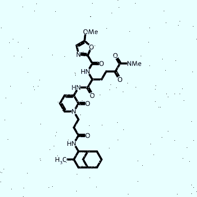 CNC(=O)C(=O)CCC(NC(=O)c1ncc(OC)o1)C(=O)Nc1cccn(CCC(=O)NC2C(C)CC3CCCC2C3)c1=O